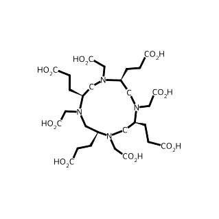 O=C(O)CC[C@H]1CN(CC(=O)O)[C@@H](CCC(=O)O)CN(CC(=O)O)[C@@H](CCC(=O)O)CN(CC(=O)O)[C@@H](CCC(=O)O)CN1CC(=O)O